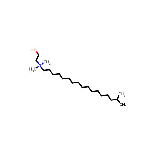 CC(C)CCCCCCCCCCCCCCC[N+](C)(C)CCO